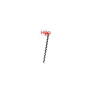 CCCCCCCCCC=CC=CC=CC=CC=CC=CC(=O)OO